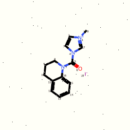 C[n+]1ccn(C(=O)N2CCCc3ccccc32)c1.[I-]